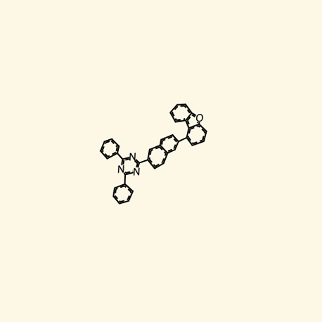 c1ccc(-c2nc(-c3ccccc3)nc(-c3ccc4cc(-c5cccc6oc7ccccc7c56)ccc4c3)n2)cc1